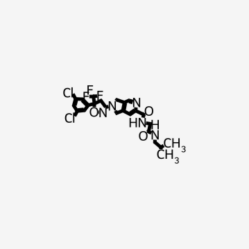 CC(C)CNC(=O)CNC(=O)c1cc2c(cn1)CN(C1=NOC(c3cc(Cl)cc(Cl)c3)(C(F)(F)F)C1)C2